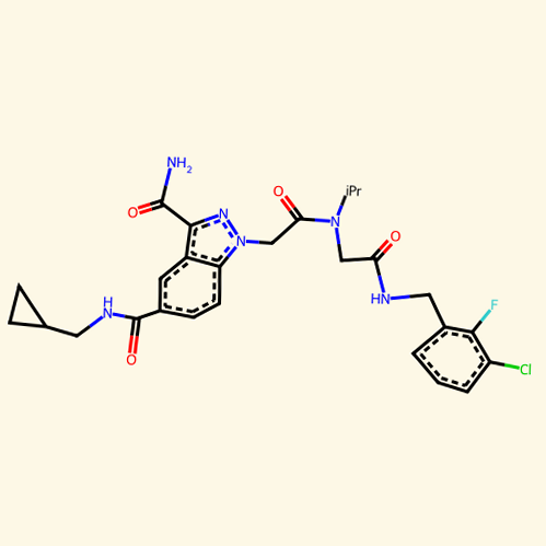 CC(C)N(CC(=O)NCc1cccc(Cl)c1F)C(=O)Cn1nc(C(N)=O)c2cc(C(=O)NCC3CC3)ccc21